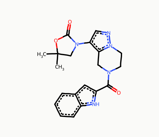 CC1(C)CN(c2cnn3c2CN(C(=O)c2cc4ccccc4[nH]2)CC3)C(=O)O1